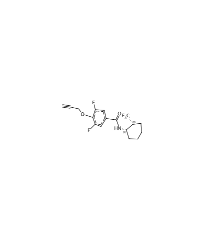 C#CCOc1c(F)cc(C(=O)N[C@H]2CCCC[C@H]2C(F)(F)F)cc1F